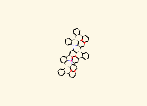 c1ccc(-c2ccccc2B2c3ccccc3N3c4cc5c6cccc7c6n(c5cc4B(c4ccccc4-c4ccccc4)c4cccc2c43)-c2ccccc2B7c2ccccc2-c2ccccc2)cc1